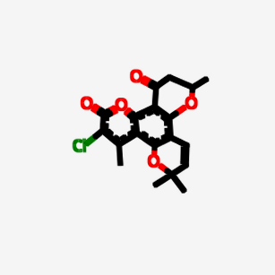 Cc1c(Cl)c(=O)oc2c3c(c4c(c12)OC(C)(C)C=C4)OC(C)CC3=O